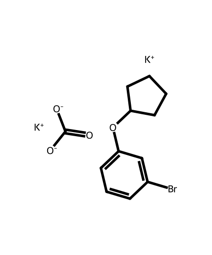 Brc1cccc(OC2CCCC2)c1.O=C([O-])[O-].[K+].[K+]